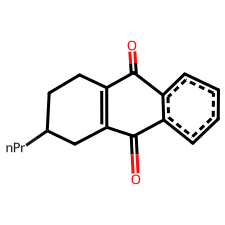 CCCC1CCC2=C(C1)C(=O)c1ccccc1C2=O